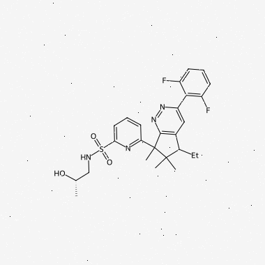 CCC1c2cc(-c3c(F)cccc3F)nnc2C(C)(c2cccc(S(=O)(=O)NC[C@H](C)O)n2)C1(C)C